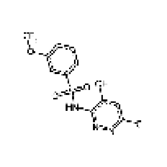 O=S(=O)(Nc1nnc(Cl)cc1O)c1cccc(OC(F)(F)F)c1